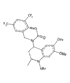 CCCCN1c2cc(OC)c(OC)cc2C(N(Cc2cc(C(F)(F)F)cc(C(F)(F)F)c2)C(=O)OC)CC1C